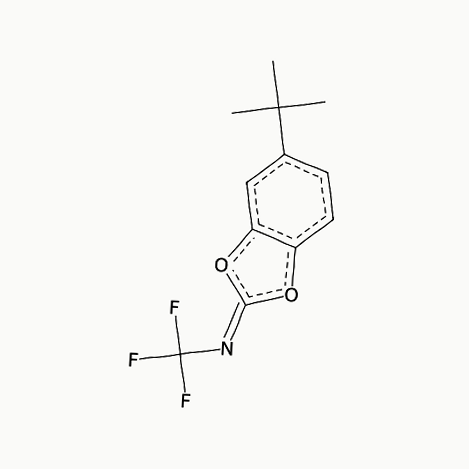 CC(C)(C)c1ccc2oc(=NC(F)(F)F)oc2c1